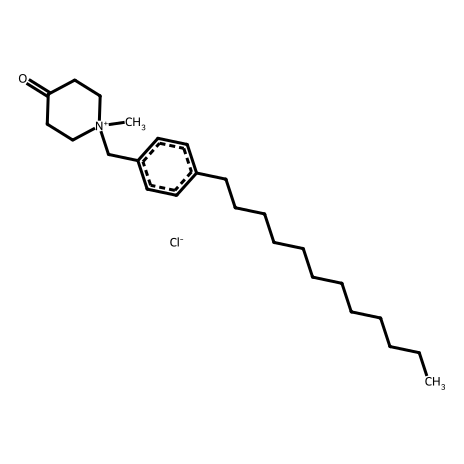 CCCCCCCCCCCCc1ccc(C[N+]2(C)CCC(=O)CC2)cc1.[Cl-]